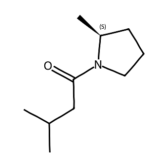 CC(C)CC(=O)N1CCC[C@@H]1C